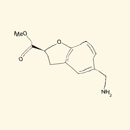 COC(=O)[C@@H]1Cc2cc(CN)ccc2O1